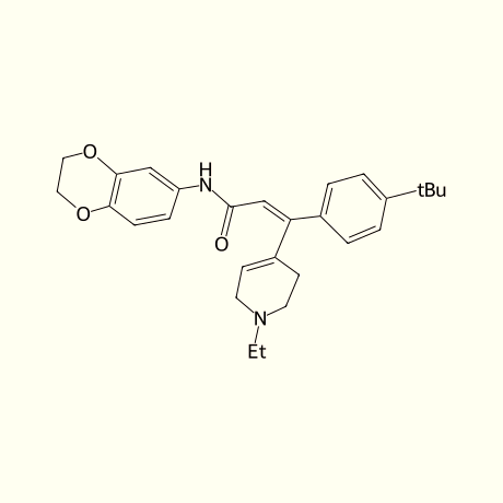 CCN1CC=C(/C(=C\C(=O)Nc2ccc3c(c2)OCCO3)c2ccc(C(C)(C)C)cc2)CC1